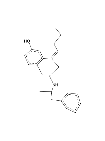 CCC/C=C(/CCNC(C)Cc1ccccc1)c1cc(O)ccc1C